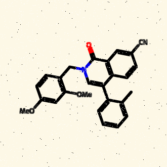 COc1ccc(Cn2cc(-c3ccccc3C)c3ccc(C#N)cc3c2=O)c(OC)c1